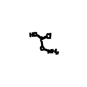 NOP(O)Cl